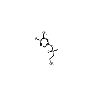 CCCS(=O)(=O)Oc1ccc(F)c(C)c1